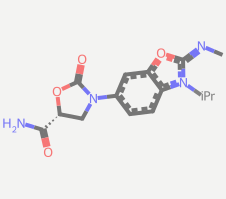 C/N=c1/oc2cc(N3C[C@H](C(N)=O)OC3=O)ccc2n1C(C)C